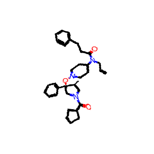 C=CCN(C(=O)CCc1ccccc1)C1CCN(O[C@]2(c3ccccc3)CN(C(=O)C3CCCC3)C[C@@H]2C)CC1